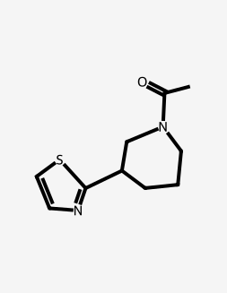 CC(=O)N1CCCC(c2nccs2)C1